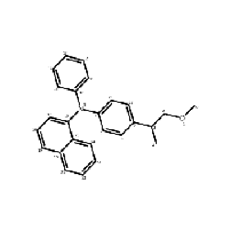 COCC(C)c1ccc(N(c2ccccc2)c2cccc3ccccc23)cc1